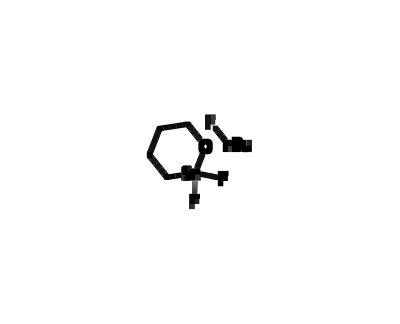 CCCCF.[F][Sn]1([F])[CH2]CCC[O]1